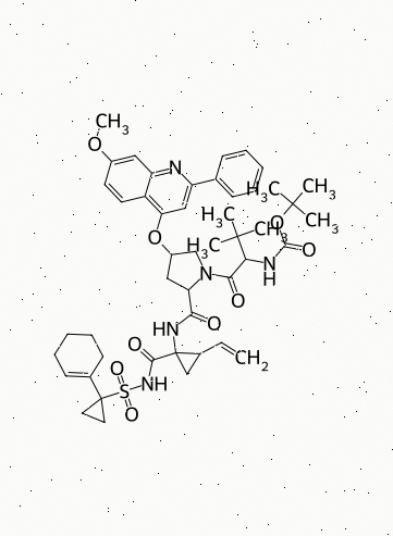 C=CC1CC1(NC(=O)C1CC(Oc2cc(-c3ccccc3)nc3cc(OC)ccc23)CN1C(=O)C(NC(=O)OC(C)(C)C)C(C)(C)C)C(=O)NS(=O)(=O)C1(C2=CCCCC2)CC1